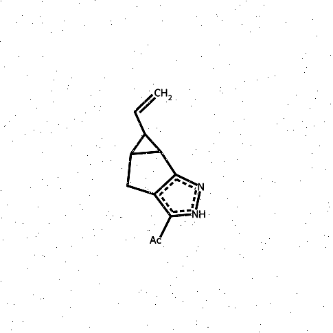 C=CC1C2Cc3c(n[nH]c3C(C)=O)C12